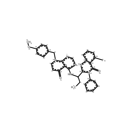 CCC(Nc1ncnc2c1c(=O)ccn2Cc1ccc(OC)cc1)c1nc2cccc(F)c2c(=O)n1-c1ccccc1